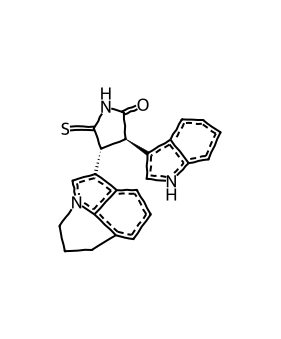 O=C1NC(=S)[C@@H](c2cn3c4c(cccc24)CCC3)[C@@H]1c1c[nH]c2ccccc12